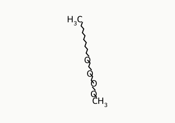 CCCCCCCCCCCCOCCCOCCOCCOCC